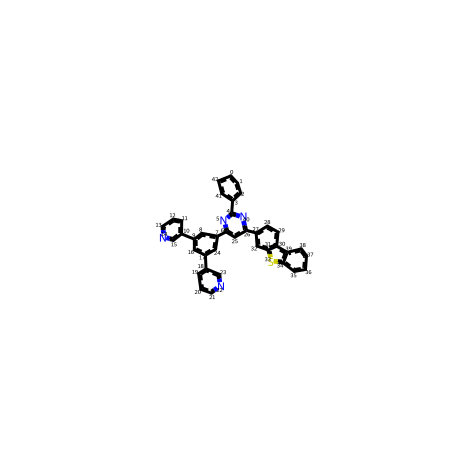 c1ccc(-c2nc(-c3cc(-c4cccnc4)cc(-c4cccnc4)c3)cc(-c3ccc4c(c3)sc3ccccc34)n2)cc1